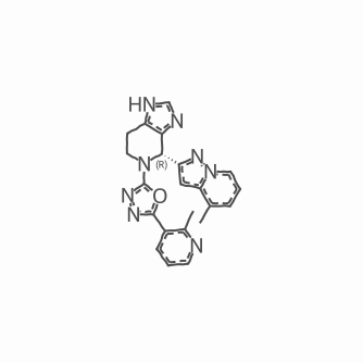 Cc1ncccc1-c1nnc(N2CCc3[nH]cnc3[C@@H]2c2cc3c(C)cccn3n2)o1